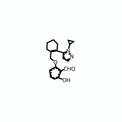 O=Cc1c(O)cccc1OCC1=C(c2ccnn2C2CC2)CCCC1